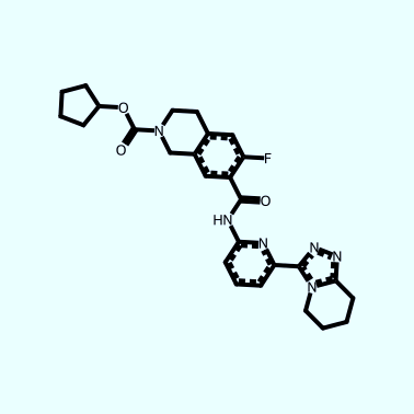 O=C(Nc1cccc(-c2nnc3n2CCCC3)n1)c1cc2c(cc1F)CCN(C(=O)OC1CCCC1)C2